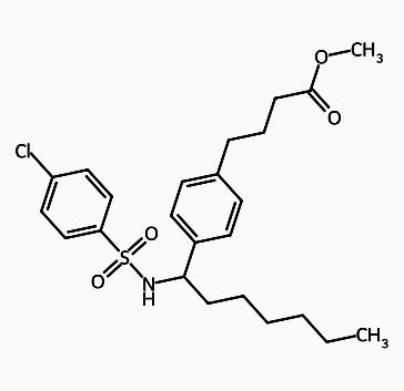 CCCCCCC(NS(=O)(=O)c1ccc(Cl)cc1)c1ccc(CCCC(=O)OC)cc1